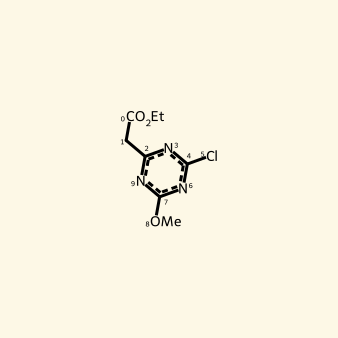 CCOC(=O)Cc1nc(Cl)nc(OC)n1